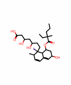 CCCC(C)(CC)C(=O)OC1CC(O)C=C2C=CC(C)C(I)(CCC(O)CC(O)CC(=O)O)C21